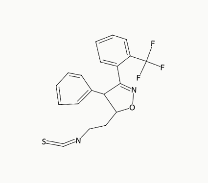 FC(F)(F)c1ccccc1C1=NOC(CCN=C=S)C1c1ccccc1